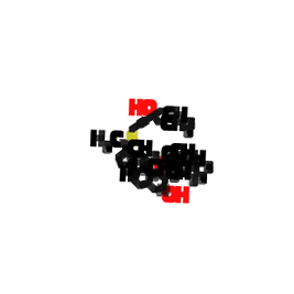 CCC(O)(C#CCSC(C)C1=CC[C@H]2C3=CC=C4C[C@@H](O)C[C@H](O[Si](C)(C)C(C)(C)C)[C@]4(C)[C@H]3CC[C@]12C)CC